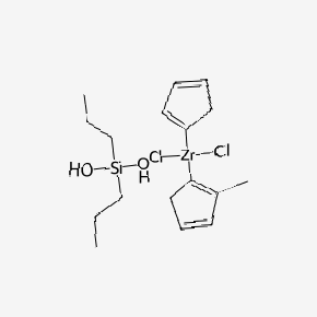 CC1=[C]([Zr]([Cl])([Cl])[C]2=CC=CC2)CC=C1.CCC[Si](O)(O)CCC